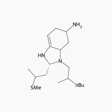 CCCCC(C)CN1C2CC(N)CC=C2N[C@H]1CC(C)SC